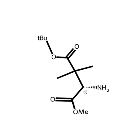 COC(=O)[C@@H](N)C(C)(C)C(=O)OC(C)(C)C